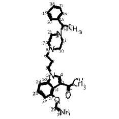 CC(=O)c1cn(CCCN2CCN(C(C)c3ccccc3)CC2)c2cccc(OC=N)c12